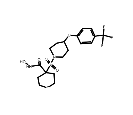 O=C(NO)C1(S(=O)(=O)N2CCC(Oc3ccc(C(F)(F)F)cc3)CC2)CCSCC1